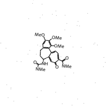 CNC(=O)NC1CCc2cc(OC)c(OC)c(OC)c2-c2ccc(C(=O)NC)c(=O)cc21